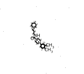 Cc1ccc(N2CCN(C(=O)NCCCN3CCCCC3)CC2)cc1C